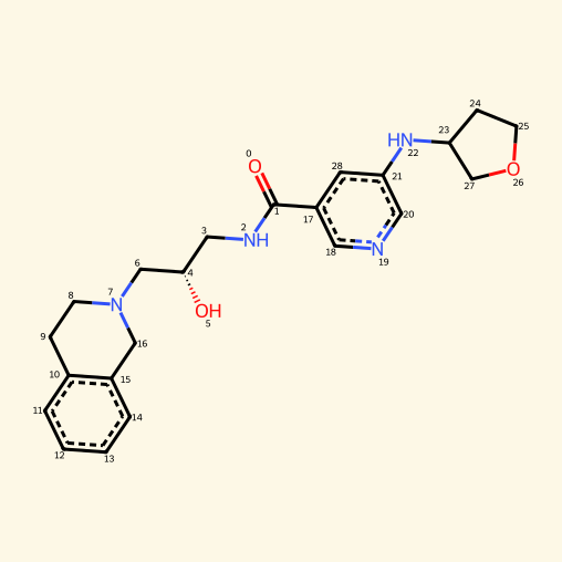 O=C(NC[C@H](O)CN1CCc2ccccc2C1)c1cncc(NC2CCOC2)c1